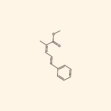 COC(=O)C(C)=CC=Cc1ccccc1